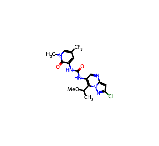 COC(C)c1c(NC(=O)Nc2cc(C(F)(F)F)cn(C)c2=O)cnc2cc(Cl)nn12